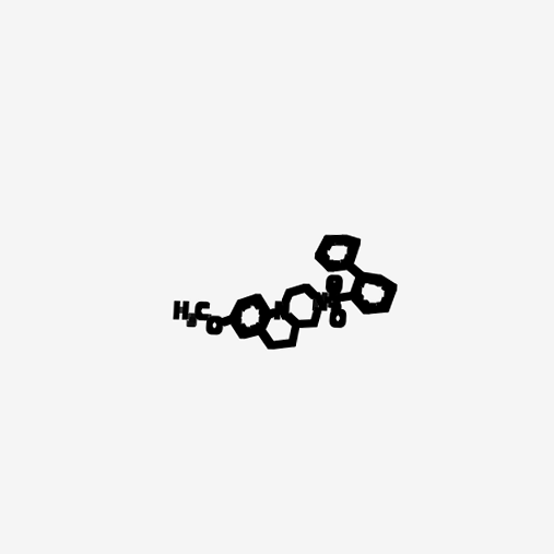 COc1ccc2c(c1)CCC1CN(S(=O)(=O)c3ccccc3-c3ccccc3)CCN21